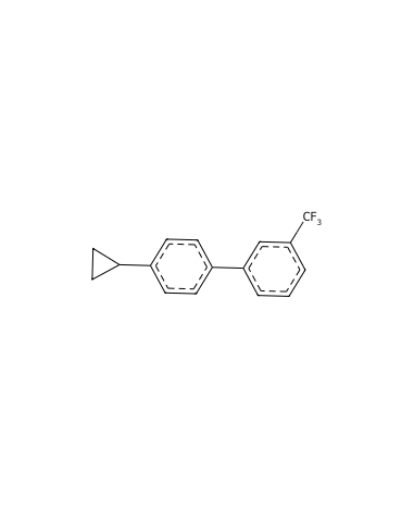 FC(F)(F)c1cccc(-c2ccc(C3CC3)cc2)c1